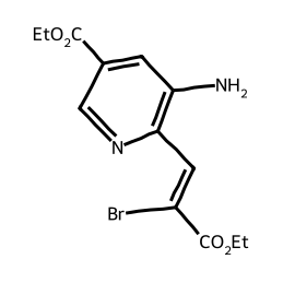 CCOC(=O)C(Br)=Cc1ncc(C(=O)OCC)cc1N